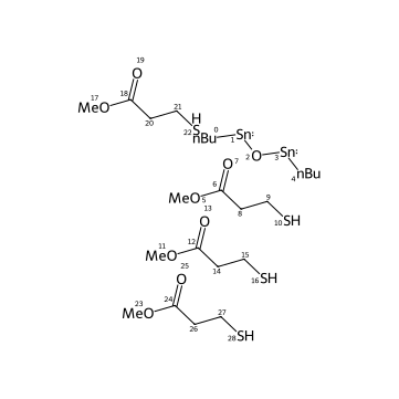 CCC[CH2][Sn][O][Sn][CH2]CCC.COC(=O)CCS.COC(=O)CCS.COC(=O)CCS.COC(=O)CCS